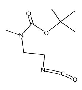 CN(CCN=C=O)C(=O)OC(C)(C)C